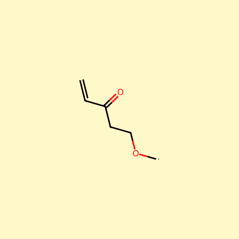 [CH2]OCCC(=O)C=C